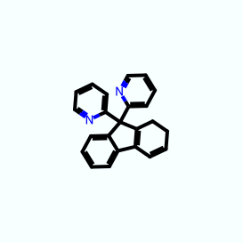 C1=CC2=C(CC1)C(c1ccccn1)(c1ccccn1)c1ccccc12